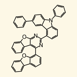 c1ccc(-c2ccc3c(c2)c2c(-c4nc(-c5cccc6c5oc5ccccc56)c5c(n4)oc4ccccc45)cccc2n3-c2ccccc2)cc1